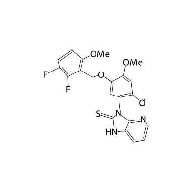 COc1cc(Cl)c(-n2c(=S)[nH]c3cccnc32)cc1OCc1c(OC)ccc(F)c1F